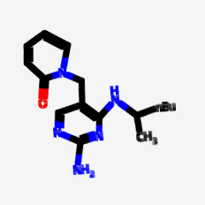 CCCCC(C)Nc1nc(N)ncc1Cn1ccccc1=O